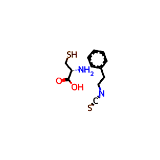 N[C@@H](CS)C(=O)O.S=C=NCCc1ccccc1